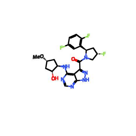 CO[C@H]1C[C@@H](O)[C@H](Nc2ncnc3[nH]nc(C(=O)N4C[C@@H](F)C[C@@H]4c4cc(F)ccc4F)c23)C1